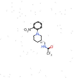 O=C(NC[C@@H]1CCCN(c2ccccc2[N+](=O)[O-])C1)C(F)(F)F